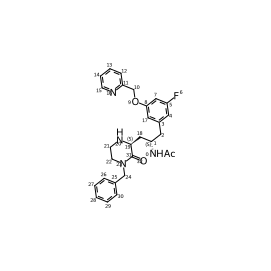 CC(=O)N[C@@H](Cc1cc(F)cc(OCc2ccccn2)c1)C[C@@H]1NCCN(Cc2ccccc2)C1=O